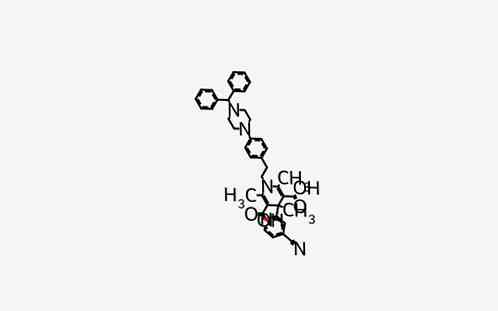 CC1=C(C(=O)O)C(C)(c2cc(C#N)ccn2)C(C(=O)O)=C(C)N1CCc1ccc(N2CCN(C(c3ccccc3)c3ccccc3)CC2)cc1